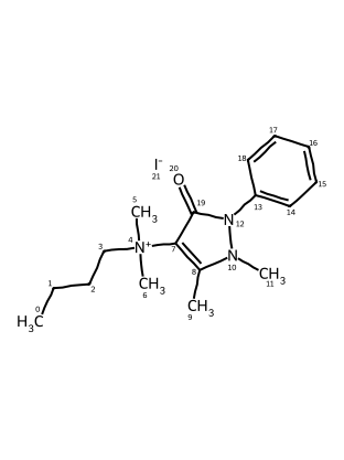 CCCC[N+](C)(C)c1c(C)n(C)n(-c2ccccc2)c1=O.[I-]